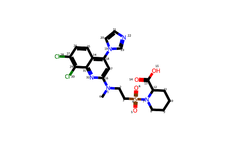 CN(CCS(=O)(=O)N1CCCCC1C(=O)O)c1cc(-n2ccnc2)c2ccc(Cl)c(Cl)c2n1